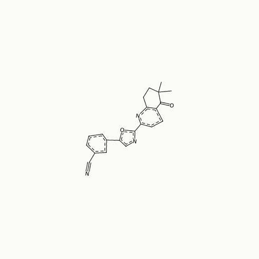 CC1(C)CCc2nc(-c3ncc(-c4cccc(C#N)c4)o3)ccc2C1=O